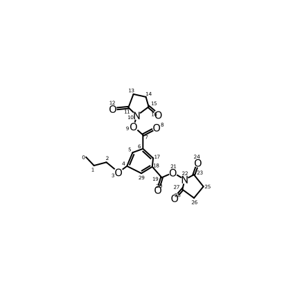 CCCOc1cc(C(=O)ON2C(=O)CCC2=O)cc(C(=O)ON2C(=O)CCC2=O)c1